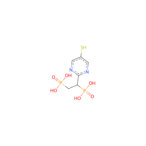 O=P(O)(O)CC(c1ncc(S)cn1)P(=O)(O)O